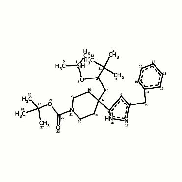 C[SiH](C)OC(CC1(c2cc(Cc3ccccc3)n[nH]2)CCN(C(=O)OC(C)(C)C)CC1)C(C)(C)C